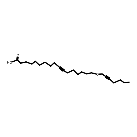 CCCCC#CCCCCCCCCC#CCCCCCCCCC(=O)O